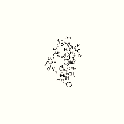 CCC(CO)OC(O)COC(=O)NCCC(=O)N[C@@H](C)C(=O)OCCCNC(=O)[C@@H](Cc1ccccc1)NC(=O)[C@H](C)[C@@H](OC)[C@@H]1CCCN1C(=O)C[C@@H](OC)[C@H]([C@@H](C)CC)N(C)C(=O)[C@@H](NC(=O)[C@H](C(C)C)N(C)C)C(C)C